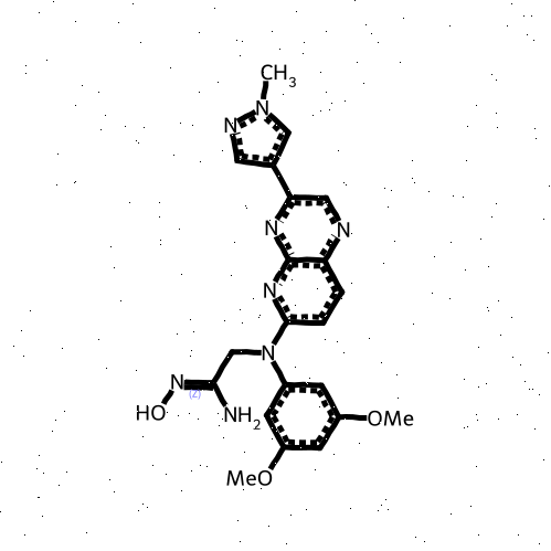 COc1cc(OC)cc(N(C/C(N)=N/O)c2ccc3ncc(-c4cnn(C)c4)nc3n2)c1